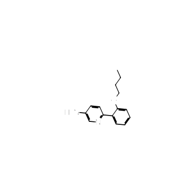 CCCCOc1ccccc1-c1ccc(N)cn1